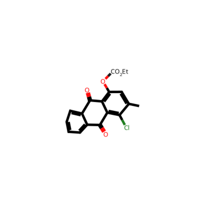 CCOC(=O)Oc1cc(C)c(Cl)c2c1C(=O)c1ccccc1C2=O